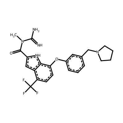 CN(C(=N)N)C(=O)c1cc2c(C(F)(F)F)ccc(Oc3cccc(CN4CCCC4)c3)c2[nH]1